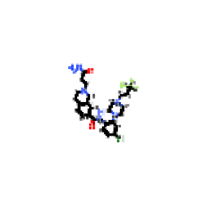 NC(=O)CCN1CCc2ccc(C(=O)Nc3ccc(Cl)cc3N3CCN(CCC(F)(F)F)CC3)cc2C1